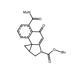 CNC(=O)c1cccc2c1C(=O)C=C1N(C(=O)OC(C)(C)C)CC3CC123